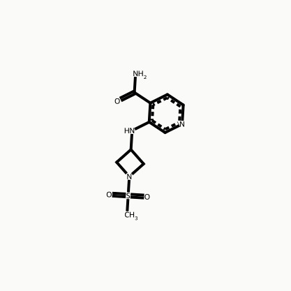 CS(=O)(=O)N1CC(Nc2cnccc2C(N)=O)C1